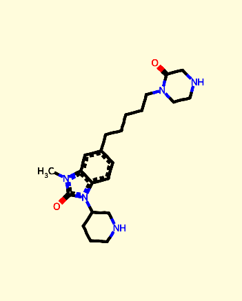 Cn1c(=O)n(C2CCCNC2)c2ccc(CCCCCN3CCNCC3=O)cc21